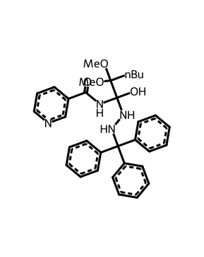 CCCCC(OC)(OC)C(O)(NNC(c1ccccc1)(c1ccccc1)c1ccccc1)NC(=O)c1cccnc1